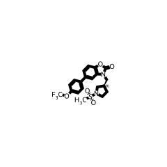 CS(=O)(=O)N1CC[C@H](Cn2c(=O)oc3ccc(-c4ccc(OC(F)(F)F)cc4)cc32)C1